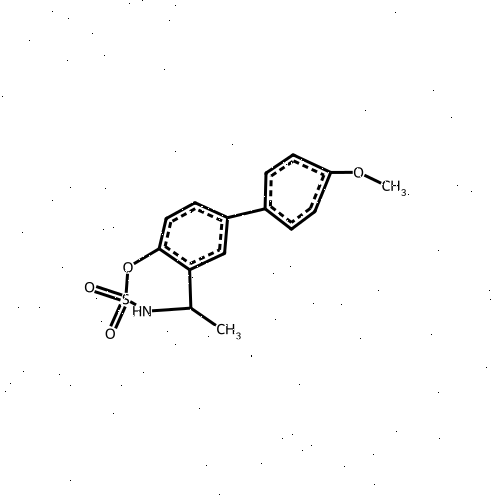 COc1ccc(-c2ccc3c(c2)C(C)NS(=O)(=O)O3)cc1